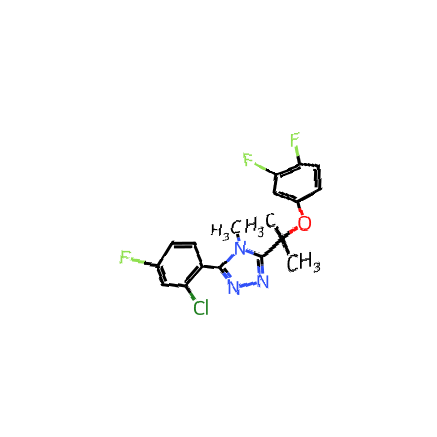 Cn1c(-c2ccc(F)cc2Cl)nnc1C(C)(C)Oc1ccc(F)c(F)c1